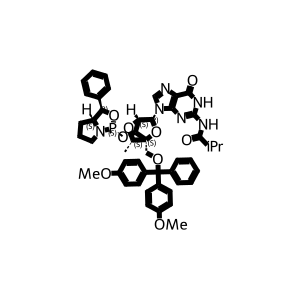 COc1ccc(C(OC[C@]23O[C@@H](n4cnc5c(=O)[nH]c(NC(=O)C(C)C)nc54)[C@@H](O[C@H]2C)C3O[P@@]2O[C@H](c3ccccc3)[C@@H]3CCCN32)(c2ccccc2)c2ccc(OC)cc2)cc1